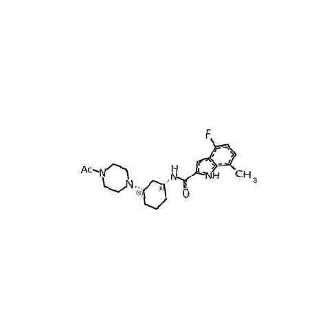 CC(=O)N1CCN([C@H]2CCC[C@@H](NC(=O)c3cc4c(F)ccc(C)c4[nH]3)C2)CC1